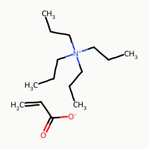 C=CC(=O)[O-].CCC[N+](CCC)(CCC)CCC